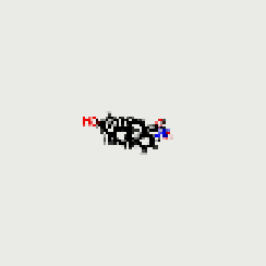 C[C@]12CC[C@H](O)C[C@@H]1CC[C@@H]1[C@@H]2CC[C@]2(C)[C@@H]([N+](=O)[O-])CC[C@@H]12